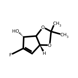 CC1(C)OC2[C@@H](C=C(F)[C@@H]2O)O1